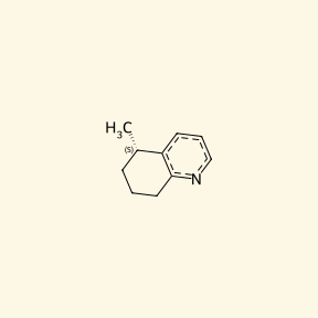 C[C@H]1CCCc2ncccc21